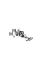 CCON=C(C(=O)OCC)c1ccc(OCCOc2ccc3ccccc3c2)s1